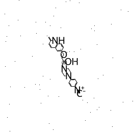 [C-]#[N+]c1ccc(N2CCN(C[C@H](O)COc3ccc4c(c3)C=CC(=C)N4)CC2)cc1